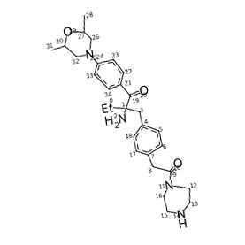 CCC(N)(Cc1ccc(CC(=O)N2CCNCC2)cc1)C(=O)c1ccc(N2CC(C)OC(C)C2)cc1